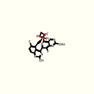 CSc1ncc2c(N3CC[C@@H]3C)nc(-c3nc(O)nc4ccc(F)c(C#C[Si](C(C)C)(C(C)C)C(C)C)c34)c(F)c2n1